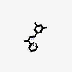 Cc1cc(C)cc(/C=C/C(C)c2ccccn2)c1